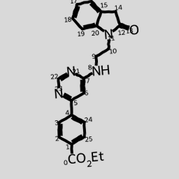 CCOC(=O)c1ccc(-c2cc(NCCN3C(=O)Cc4ccccc43)ncn2)cc1